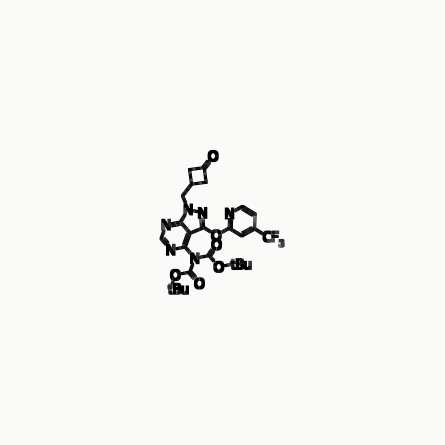 CC(C)(C)OC(=O)N(C(=O)OC(C)(C)C)c1ncnc2c1c(Oc1cc(C(F)(F)F)ccn1)nn2CC1CC(=O)C1